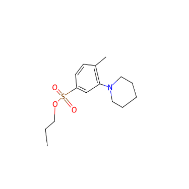 CCCOS(=O)(=O)c1ccc(C)c(N2CCCCC2)c1